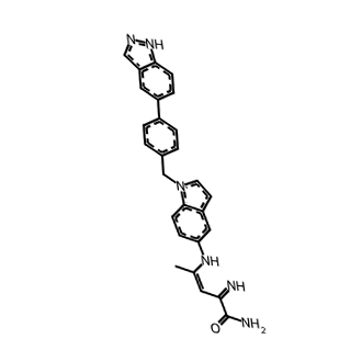 C/C(=C/C(=N)C(N)=O)Nc1ccc2c(ccn2Cc2ccc(-c3ccc4[nH]ncc4c3)cc2)c1